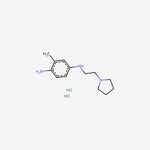 Cc1cc(NCCN2CCCC2)ccc1N.Cl.Cl